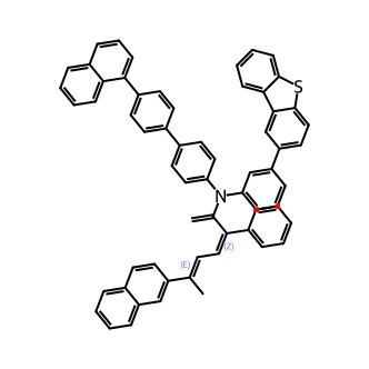 C=C(/C(=C\C=C(/C)c1ccc2ccccc2c1)c1ccccc1)N(c1ccc(-c2ccc(-c3cccc4ccccc34)cc2)cc1)c1cccc(-c2ccc3sc4ccccc4c3c2)c1